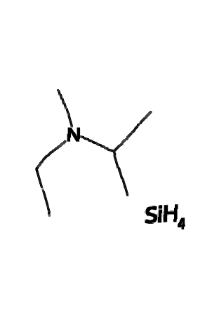 CCN(C)C(C)C.[SiH4]